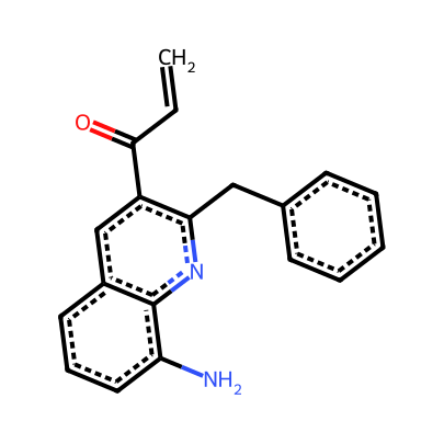 C=CC(=O)c1cc2cccc(N)c2nc1Cc1ccccc1